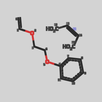 C=COCCOc1ccccc1.O=C(O)/C=C\C(=O)O